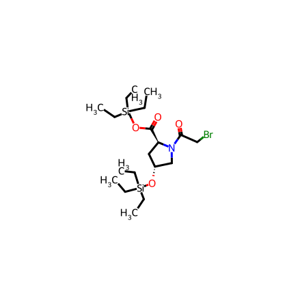 CC[Si](CC)(CC)OC(=O)[C@@H]1C[C@@H](O[Si](CC)(CC)CC)CN1C(=O)CBr